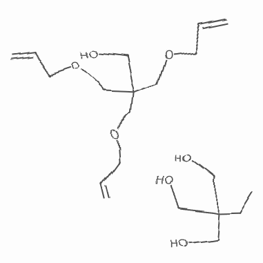 C=CCOCC(CO)(COCC=C)COCC=C.CCC(CO)(CO)CO